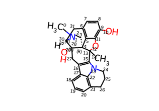 CN1CC[C@]23c4c5ccc(O)c4OC2(C)c2c(c4cccc6c4n2CCC6)C[C@@]3(O)[C@H]1C5